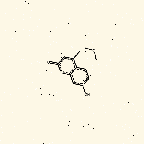 COC.Cc1cc(=O)oc2cc(O)ccc12